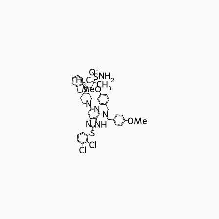 COc1ccc(CN(Cc2ccc(OC)cc2)c2nc(N3CCC4(CC3)Cc3ccccc3[C@H]4CC(C)(C)[S+](N)[O-])cc3nc(Sc4cccc(Cl)c4Cl)[nH]c23)cc1